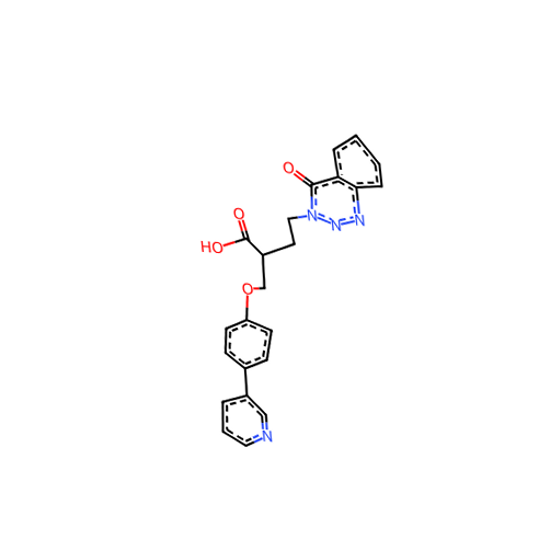 O=C(O)C(CCn1nnc2ccccc2c1=O)COc1ccc(-c2cccnc2)cc1